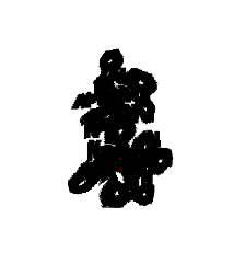 N#Cc1cc(-c2ccncc2)cc(-n2c3c(-n4c5ccccc5c5ccccc54)cccc3c3cccc(-n4c5ccccc5c5cc(-c6ccc7c8ccccc8n(-c8cccc9c%10cccc(-n%11c%12ccccc%12c%12ccccc%12%11)c%10n(-c%10ccc(C#N)c(-c%11ccncc%11)c%10)c89)c7c6)ccc54)c32)c1